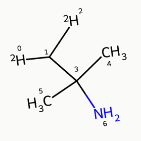 [2H]C([2H])C(C)(C)N